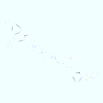 CCn1cc(S(=O)(=O)N2CCC3(CC2)C[C@@H](NCC(O)COc2cccc(S(=O)(=O)NC)c2)CO3)c(=O)c2ccc(C)cc21